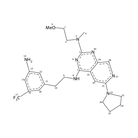 COCCN(C)c1nc(NCCc2cc(N)cc(C(F)(F)F)c2)c2cc(N3CCCC3)ncc2n1